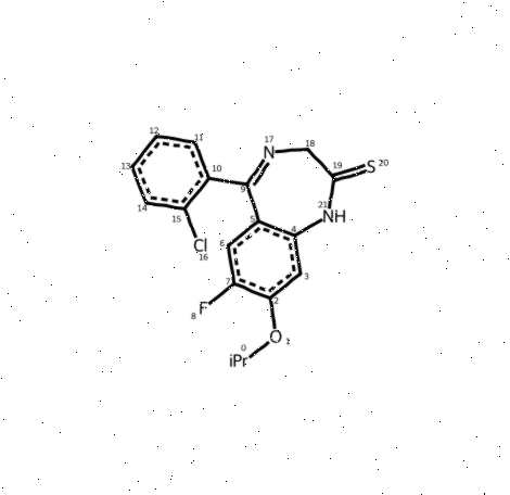 CC(C)Oc1cc2c(cc1F)C(c1ccccc1Cl)=NCC(=S)N2